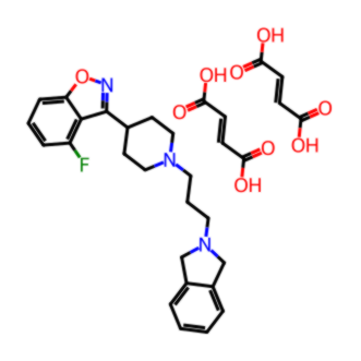 Fc1cccc2onc(C3CCN(CCCN4Cc5ccccc5C4)CC3)c12.O=C(O)/C=C/C(=O)O.O=C(O)/C=C/C(=O)O